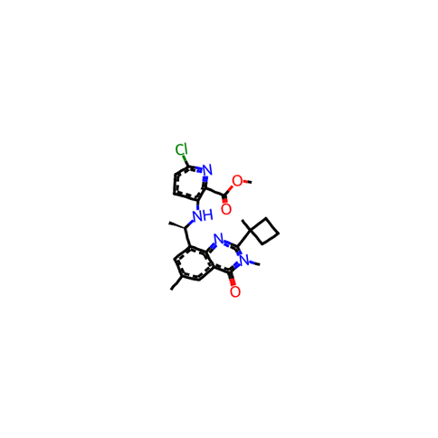 COC(=O)c1nc(Cl)ccc1N[C@H](C)c1cc(C)cc2c(=O)n(C)c(C3(C)CCC3)nc12